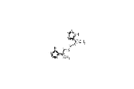 C[C@@H](CSSC[C@H](C)c1nnn[nH]1)c1nnn[nH]1